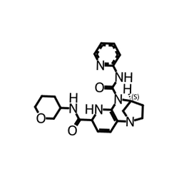 O=C(NC1CCCOC1)C1C=CC2=C(N1)N(C(=O)Nc1ccccn1)[C@H]1CCN2C1